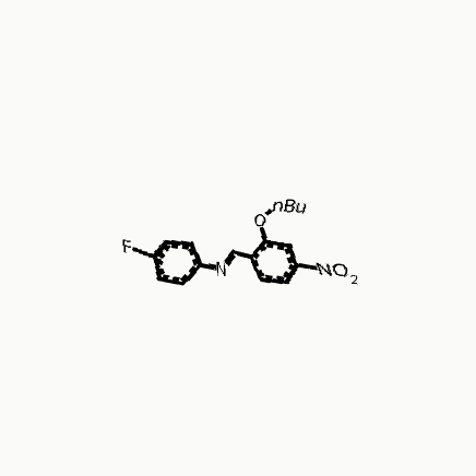 CCCCOc1cc([N+](=O)[O-])ccc1/C=N/c1ccc(F)cc1